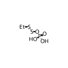 CCSSOP(=O)(O)O